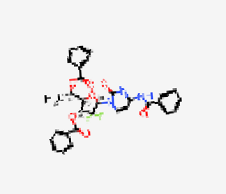 C[C@H](OC(=O)c1ccccc1)[C@H]1O[C@@H](n2ccc(NC(=O)c3ccccc3)nc2=O)C(F)(F)[C@@H]1OC(=O)c1ccccc1